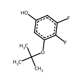 CC(C)(C)Oc1cc(O)cc(F)c1F